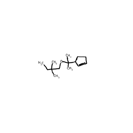 CCC(C)(C)COC(C)(C)C1C=CCC1